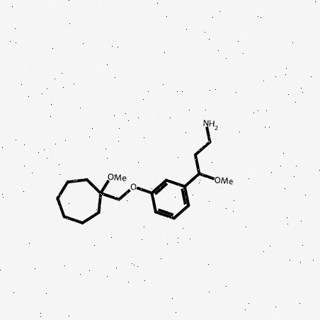 COC(CCN)c1cccc(OCC2(OC)CCCCCC2)c1